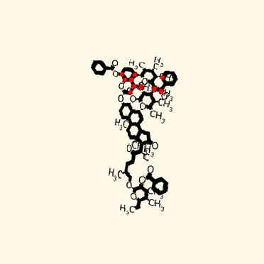 CCC1O[C@@H](O[C@@H]2C(COC(=O)c3ccccc3)O[C@@H](OC3CCC4(C)C(CCC5C4CCC4(C)C5CC(=O)C4[C@H](C)C(=O)CC[C@H](C)CO[C@@H]4OC(CC)[C@H](C)[C@H](C)C4OC(=O)c4ccccc4)C3)C(O[C@@H]3OC(C)[C@H](C)[C@H](OC(=O)c4ccccc4)C3OC(=O)c3ccccc3)[C@H]2C)C(C)[C@@H](C)[C@@H]1C